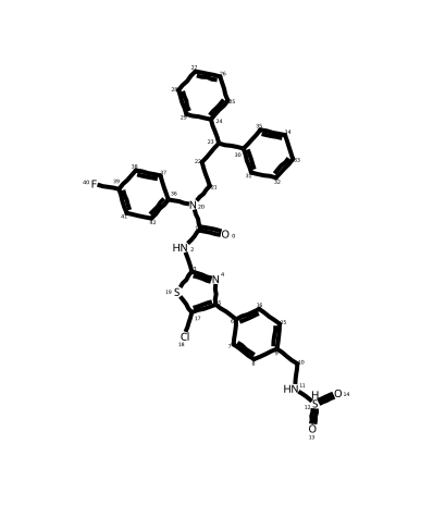 O=C(Nc1nc(-c2ccc(CN[SH](=O)=O)cc2)c(Cl)s1)N(CCC(c1ccccc1)c1ccccc1)c1ccc(F)cc1